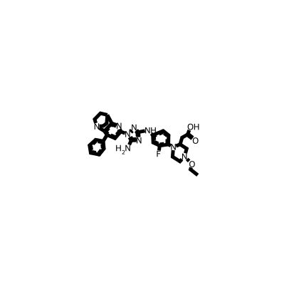 CCON1CCN(c2ccc(Nc3nc(N)n(-c4cc(-c5ccccc5)c5c(n4)C4CCN5CC4)n3)cc2F)C(CC(=O)O)C1